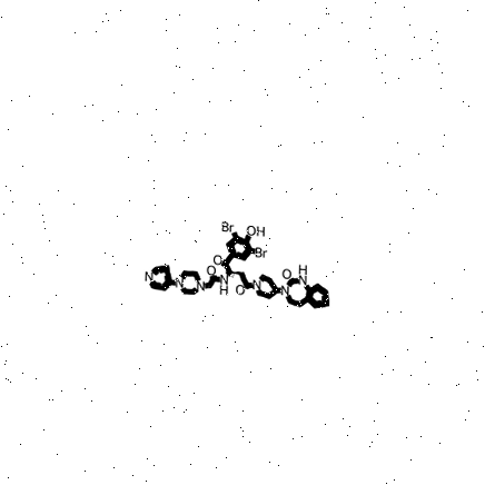 O=C(CN1CCN(c2ccncc2)CC1)N[C@H](CC(=O)N1CCC(N2CCc3ccccc3NC2=O)CC1)C(=O)c1cc(Br)c(O)c(Br)c1